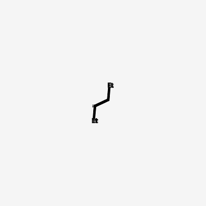 [CH2]CC[C]CC